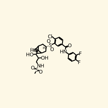 C[C@H]1CC2C[C@@H](S(=O)(=O)c3cc(C(=O)Nc4ccc(F)c(F)c4)ccc3Cl)CC1[C@]2(O)C(O)C(O)CNS(C)(=O)=O